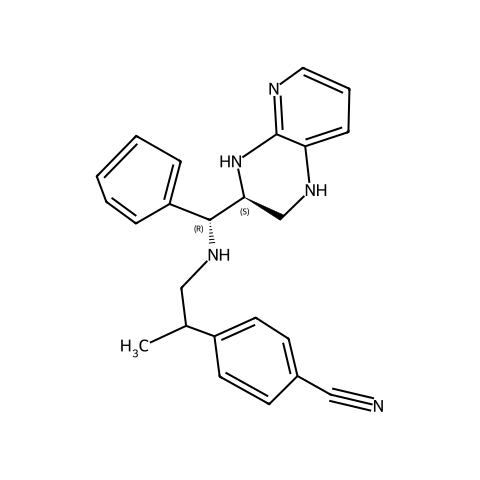 CC(CN[C@H](c1ccccc1)[C@@H]1CNc2cccnc2N1)c1ccc(C#N)cc1